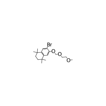 COCCOCOc1cc2c(cc1Br)C(C)(C)CCC2(C)C